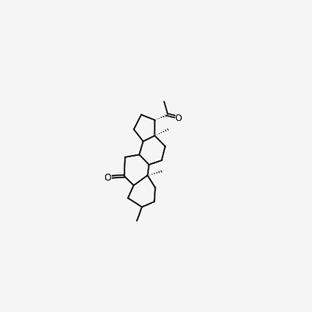 CC(=O)[C@H]1CCC2C3CC(=O)C4CC(C)CC[C@]4(C)C3CC[C@@]21C